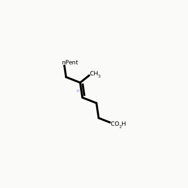 CCCCCC/C(C)=C/CCC(=O)O